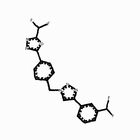 FC(F)c1cccc(-c2cn(Cc3ccc(-c4nnc(C(F)F)o4)cc3)nn2)c1